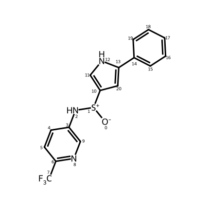 [O-][S+](Nc1ccc(C(F)(F)F)nc1)c1c[nH]c(-c2ccccc2)c1